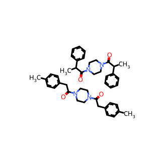 CC(C(=O)N1CCN(C(=O)C(C)c2ccccc2)CC1)c1ccccc1.Cc1ccc(CC(=O)N2CCN(C(=O)Cc3ccc(C)cc3)CC2)cc1